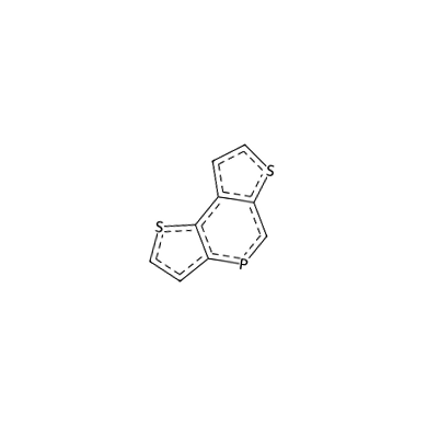 c1cc2c(cpc3ccsc32)s1